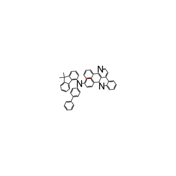 CC1(C)c2ccccc2-c2c(N(c3ccc(-c4ccccc4)cc3)c3ccc(-c4nc5ccccc5c5ccnc(-c6ccccc6)c45)cc3)cccc21